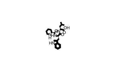 CC(C)C[C@H](NC(=O)[C@H](Cc1c[nH]c2ccccc12)NC(=O)[C@@H]1CCCCN1)C(=O)O